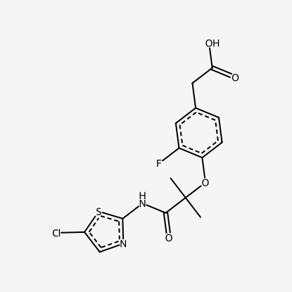 CC(C)(Oc1ccc(CC(=O)O)cc1F)C(=O)Nc1ncc(Cl)s1